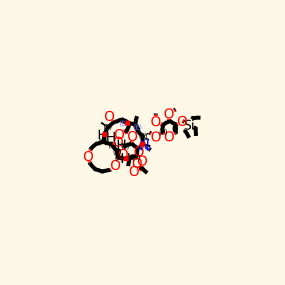 CC[Si](CC)(CC)OC1=CO[C@@H](OC[C@H]2/C=C(C)/C=C/C(=O)[C@H](C)C[C@@H]3CCOCCCCO[C@H](CC(=O)O[C@@H]2C)[C@H](C)[C@H]3O[C@@H]2OC(C)[C@@H](OC(C)=O)C(N(C)C)C2OC(C)=O)C(OC)C1OC